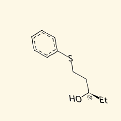 [CH2]C[C@@H](O)CCSc1ccccc1